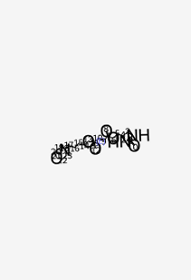 O=C1NCC(COC(=O)/C=C/C(=O)OCCCCN2CCOCC2)N1